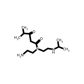 CC(C)NCCN(CCN)C(=O)CC(=O)C(C)C